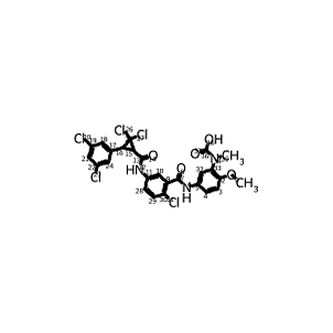 COc1ccc(NC(=O)c2cc(NC(=O)C3C(c4cc(Cl)cc(Cl)c4)C3(Cl)Cl)ccc2Cl)cc1N(C)C(=O)O